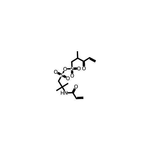 C=CC(=O)NC(C)(C)CS(=O)(=O)OS(=O)(=O)CC(C)C(=O)C=C